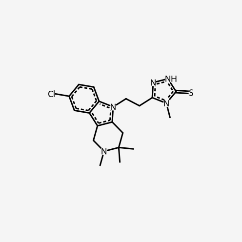 CN1Cc2c(n(CCc3n[nH]c(=S)n3C)c3ccc(Cl)cc23)CC1(C)C